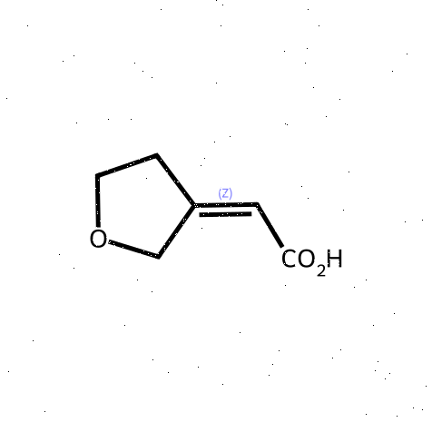 O=C(O)/C=C1/CCOC1